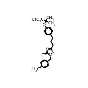 CCOC(=O)C(C)(C)Oc1ccc(CCCc2nn(Cc3ccc(C)cc3)c(=O)o2)cc1